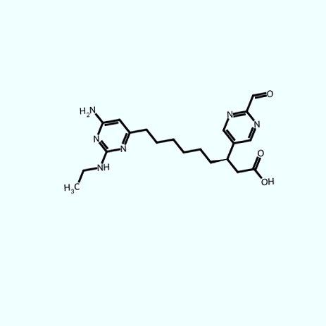 CCNc1nc(N)cc(CCCCCC[C@H](CC(=O)O)c2cnc(C=O)nc2)n1